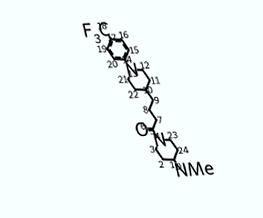 CNC1CCN(C(=O)CCCC2CCN(c3ccc(C(F)(F)F)cc3)CC2)CC1